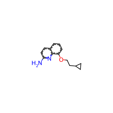 Nc1ccc2cccc(OCCC3CC3)c2n1